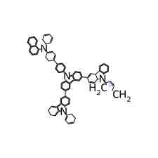 C=C/C=C\C(=C)N1c2ccccc2C2C=C(c3ccc4c(c3)c3cc(-c5ccc6c(c5)c5c(n6C6=CC=CCC6)=CCCC=5)ccc3n4-c3ccc(C4=CC=C(N(c5cccc6ccccc56)C5C=CC=CC5)CC4)cc3)C=CC21